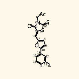 CC(=O)CN1C(=O)/C(=C/c2ccc(-c3cccc(C)c3)o2)SC1=S